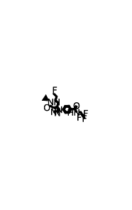 O=C(NCC(F)(F)F)c1ccc(-n2nnc(C(=O)NC3CC3)c2CCCCF)cc1